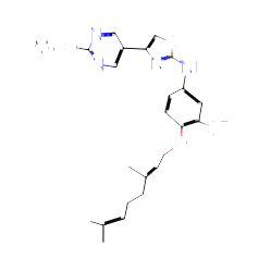 COc1ncc(-c2csc(Nc3ccc(OC/C=C(\C)CCC=C(C)C)c(C(F)(F)F)c3)n2)cn1